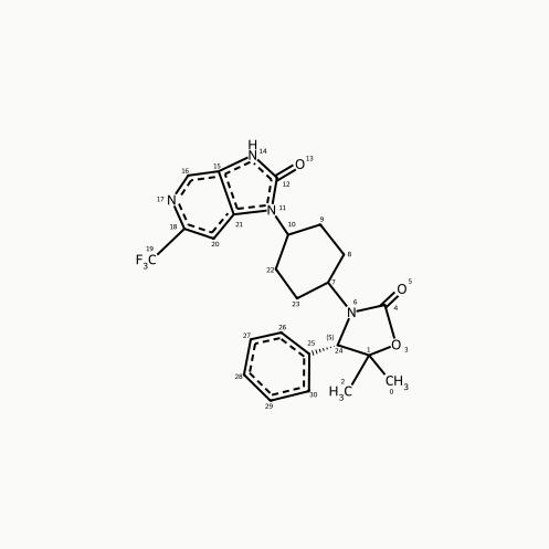 CC1(C)OC(=O)N(C2CCC(n3c(=O)[nH]c4cnc(C(F)(F)F)cc43)CC2)[C@H]1c1ccccc1